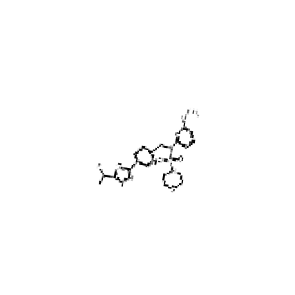 COc1cccc(N(Cc2ccc(-c3nnc(C(F)F)o3)cn2)S(=O)(=O)N2CCSCC2)c1